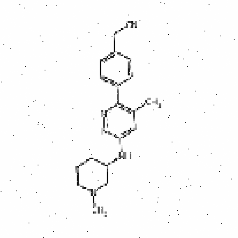 Cc1cc(N[C@@H]2CCCN(C)C2)nnc1-c1ccc(CC#N)cc1